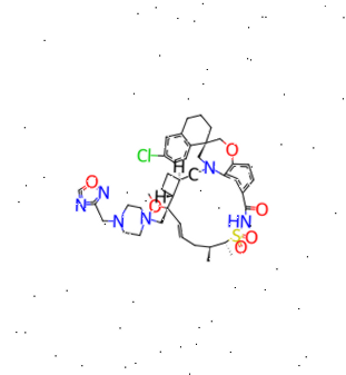 CO[C@@]1(CN2CCN(Cc3ncon3)CC2)/C=C/C[C@H](C)[C@@H](C)S(=O)(=O)NC(=O)c2ccc3c(c2)N(C[C@@H]2CC[C@H]21)C[C@@]1(CCCc2cc(Cl)ccc21)CO3